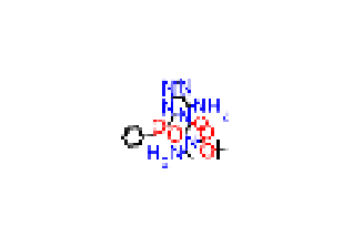 CC(N)N(CC(=O)n1c(C(=O)OCc2ccccc2)nc2ncnc-2c1N)C(=O)OC(C)(C)C